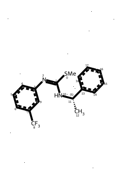 CSC(=Nc1cccc(C(F)(F)F)c1)N[C@@H](C)c1ccccc1